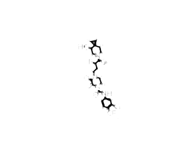 C[C@H]1C(=O)N(CCC(F)C(=O)N2CCC3(CC3)[C@H](O)C2)CCN1C(=O)Nc1ccc(C(F)(F)F)c(Cl)c1